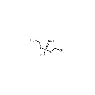 CCSP(=O)(O)SCC.[NaH]